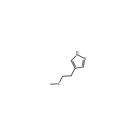 CSCCc1cn[nH]c1